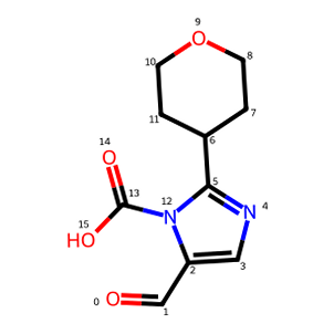 O=Cc1cnc(C2CCOCC2)n1C(=O)O